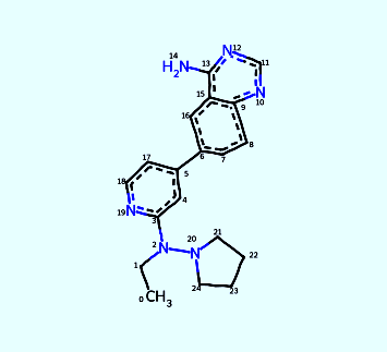 CCN(c1cc(-c2ccc3ncnc(N)c3c2)ccn1)N1CCCC1